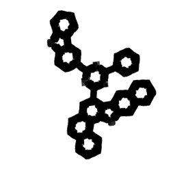 c1ccc(-c2nc(-c3ccc4oc5ccccc5c4c3)nc(-c3cc4ccc5ccccc5c4c4oc5cc6ccccc6cc5c34)n2)cc1